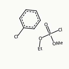 CCOP(=O)(Cl)OC.Clc1ccccc1